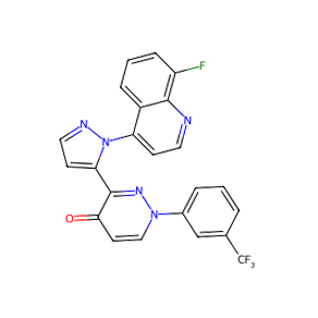 O=c1ccn(-c2cccc(C(F)(F)F)c2)nc1-c1ccnn1-c1ccnc2c(F)cccc12